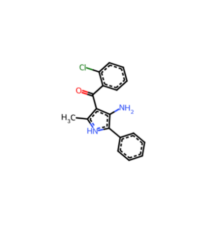 Cc1[nH]c(-c2ccccc2)c(N)c1C(=O)c1ccccc1Cl